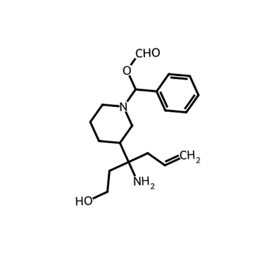 C=CCC(N)(CCO)C1CCCN(C(OC=O)c2ccccc2)C1